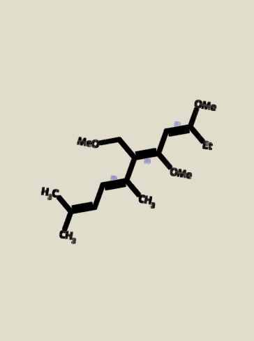 CC\C(=C/C(OC)=C(COC)/C(C)=C/C=C(C)C)OC